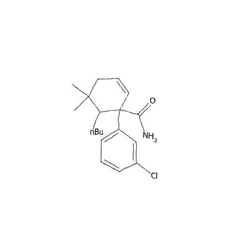 CCCCC1C(C)(C)CC=CC1(C(N)=O)c1cccc(Cl)c1